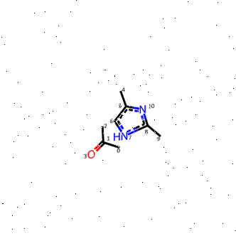 CC(C)=O.Cc1c[nH]c(C)n1